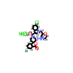 Cl.Cl.O=C1OC2(CCN(C(=O)c3cn(CC4CNCCO4)c4cc(Cl)ccc34)CC2)c2ccc(F)cc21